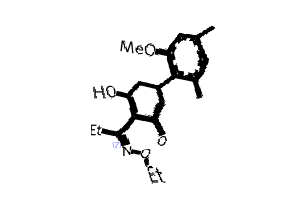 CCO/N=C(/CC)C1=C(O)CC(c2c(C)cc(C)cc2OC)CC1=O